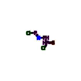 S=[PH](Cl)PN=PCl